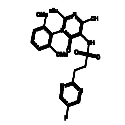 CCCCc1nc(O)c(NS(=O)(=O)CCc2ncc(F)cn2)c(=O)n1-c1c(OC)cccc1OC